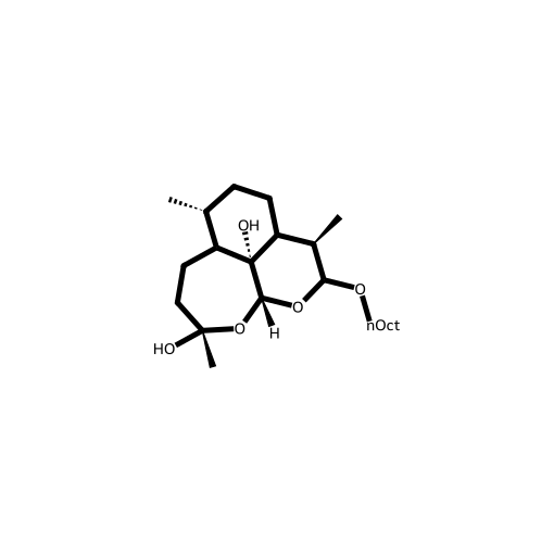 CCCCCCCCOC1O[C@@H]2O[C@](C)(O)CCC3[C@H](C)CCC([C@H]1C)[C@]32O